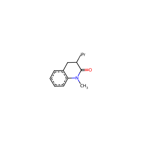 CC(C)C1Cc2ccccc2N(C)C1=O